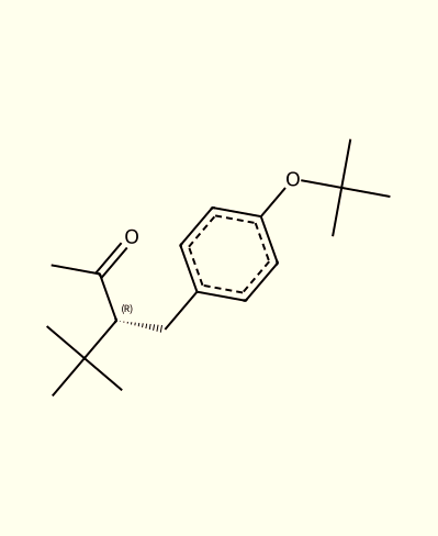 CC(=O)[C@H](Cc1ccc(OC(C)(C)C)cc1)C(C)(C)C